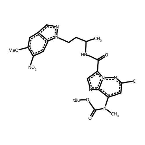 COc1cc2cnn(CCC(C)NC(=O)c3cnc4c(N(C)C(=O)OC(C)(C)C)cc(Cl)nn34)c2cc1[N+](=O)[O-]